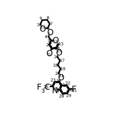 O=c1cc(COC2CCCCO2)occ1OCCCCCOc1cc(C(F)(F)F)nc2ccc(F)cc12